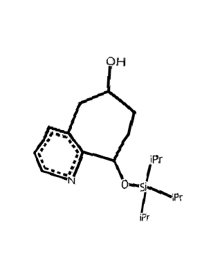 CC(C)[Si](OC1CCC(O)Cc2cccnc21)(C(C)C)C(C)C